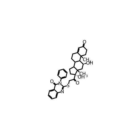 CC12CCC(=O)C=C1CCC1C2[C@@H](O)CC2(C)C1CC[C@]2(O)C(=O)CSc1nc2ccccc2c(=O)n1-c1ccccc1